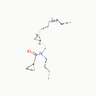 CC/C=C\CC[C@H]1C[C@H]1CN(CCCC)C(=O)C1CC1